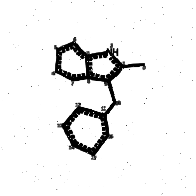 Cc1[nH]c2c[c]ccc2c1Cc1ccccc1